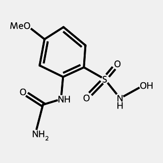 COc1ccc(S(=O)(=O)NO)c(NC(N)=O)c1